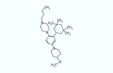 CCCCN1CCN(c2ccc(N3CCC(OC)CC3)cc2C2CC(C)(C)CC(C)(C)C2)CC1